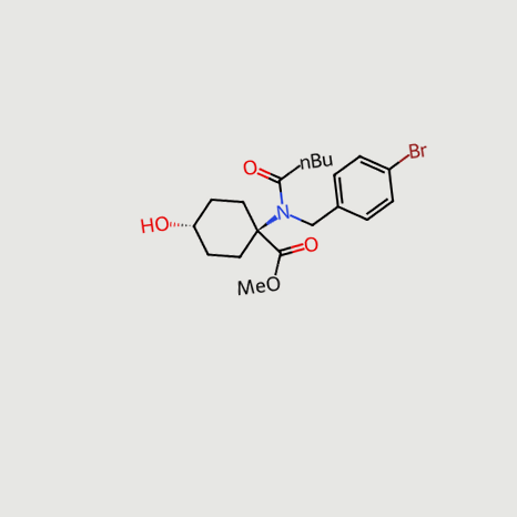 CCCCC(=O)N(Cc1ccc(Br)cc1)[C@]1(C(=O)OC)CC[C@@H](O)CC1